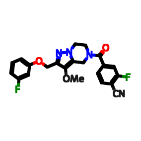 COc1c(COc2cccc(F)c2)nn2c1CN(C(=O)c1ccc(C#N)c(F)c1)CC2